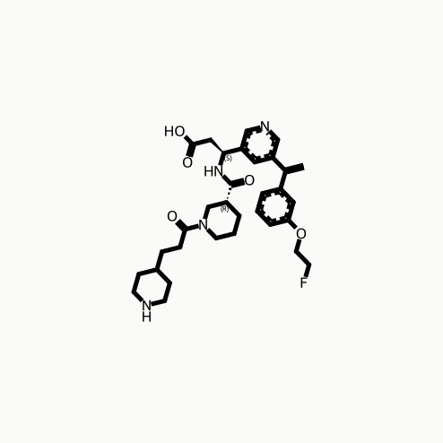 C=C(c1cccc(OCCF)c1)c1cncc([C@H](CC(=O)O)NC(=O)[C@@H]2CCCN(C(=O)CCC3CCNCC3)C2)c1